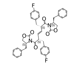 O=C1OC[C@H](Cc2ccccc2)N1C(=O)[C@H](C=C[C@H](Cc1ccc(F)cc1)C(=O)N1C(=O)OC[C@@H]1Cc1ccccc1)Cc1ccc(F)cc1